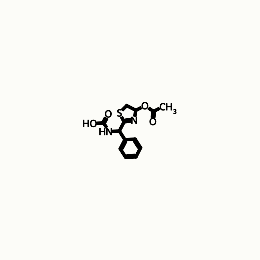 CC(=O)OC1CSC(C(NC(=O)O)c2ccccc2)=N1